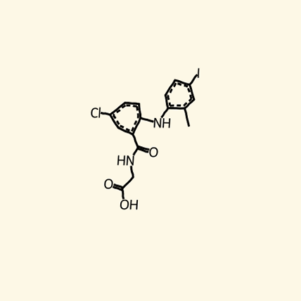 Cc1cc(I)ccc1Nc1ccc(Cl)cc1C(=O)NCC(=O)O